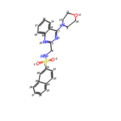 O=S(=O)(NCc1nc(N2CCOCC2)c2ccccc2n1)c1ccc2ccccc2c1